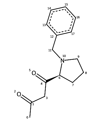 CC(=O)CC(=O)[C@@H]1CCCN1Cc1ccccc1